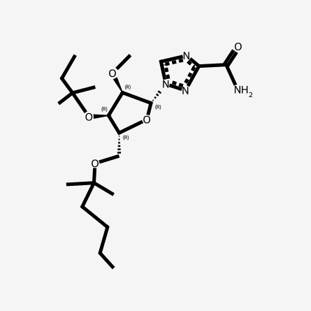 CCCCC(C)(C)OC[C@H]1O[C@@H](n2cnc(C(N)=O)n2)[C@H](OC)[C@@H]1OC(C)(C)CC